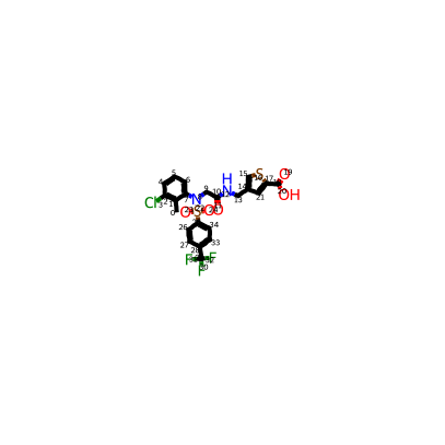 Cc1c(Cl)cccc1N(CC(=O)NCc1csc(C(=O)O)c1)S(=O)(=O)c1ccc(C(F)(F)F)cc1